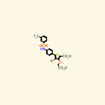 O=C(O)COc1c(C(=O)O)sc(-c2ccc(NS(=O)(=O)c3cccc(C(F)(F)F)c3)cc2)c1Br